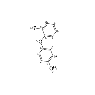 Oc1ccc(Oc2ccccc2F)cc1